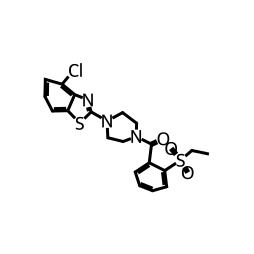 CCS(=O)(=O)c1ccccc1C(=O)N1CCN(c2nc3c(Cl)cccc3s2)CC1